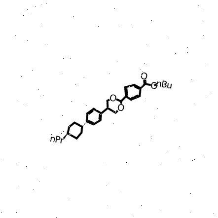 CCCCOC(=O)c1ccc(C2OCC(c3ccc([C@H]4CC[C@H](CCC)CC4)cc3)CO2)cc1